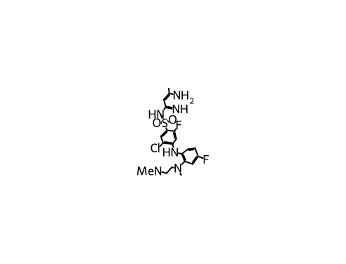 CNCCN(C)c1cc(F)ccc1Nc1cc(F)c(S(=O)(=O)NC(=N)/C=C(/C)N)cc1Cl